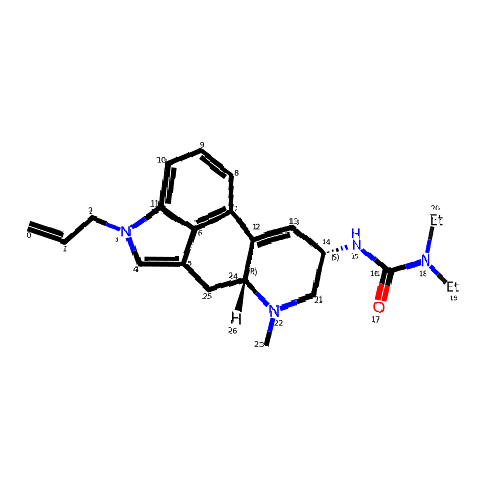 C=CCn1cc2c3c(cccc31)C1=C[C@H](NC(=O)N(CC)CC)CN(C)[C@@H]1C2